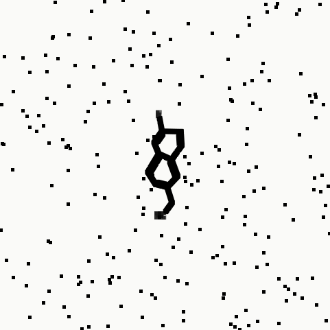 N#CCc1ccc2cc(F)ccc2c1